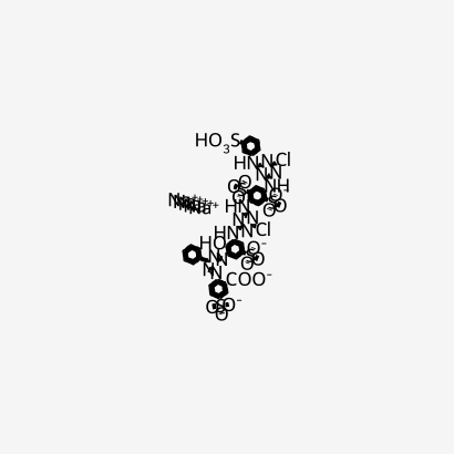 O=C([O-])c1cc(S(=O)(=O)[O-])ccc1N=NC(N=Nc1cc(S(=O)(=O)[O-])cc(Nc2nc(Cl)nc(Nc3cc(S(=O)(=O)[O-])c(Nc4nc(Cl)nc(Nc5cccc(S(=O)(=O)O)c5)n4)cc3S(=O)(=O)[O-])n2)c1O)c1ccccc1.[Na+].[Na+].[Na+].[Na+].[Na+]